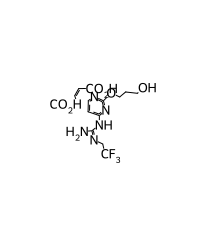 N/C(=N/CC(F)(F)F)Nc1ccnc(OCCCO)n1.O=C(O)/C=C\C(=O)O